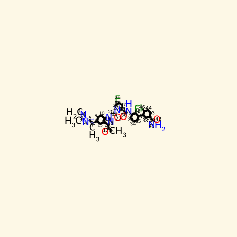 C=N/C(C)=N\C=C(/C)c1ccc2c(c1)c(C(C)=O)nn2CC(=O)N1C[C@H](F)C[C@H]1C(=O)Nc1cccc(-c2cc(C(N)=O)ccc2Cl)c1F